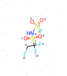 O=S(=O)(F)NS(=O)(=O)C(F)(F)CF